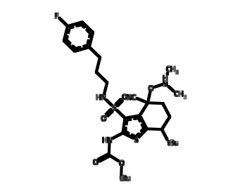 C[SiH](C)OC1(C#N)CCC(C(C)(C)C)c2sc(NC(=O)OC(C)(C)C)c(S(=O)(=O)NCCCc3ccc(F)cc3)c21